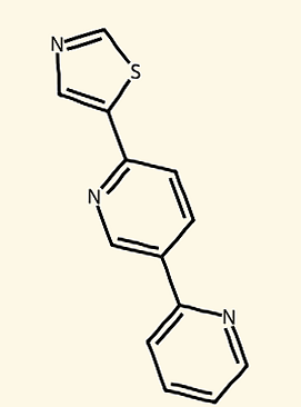 c1ccc(-c2ccc(-c3cncs3)nc2)nc1